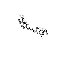 C=CCc1cc(OCCCCC2CCN(C(=O)OC(C)(C)C)CC2)ccc1CC(=O)OC